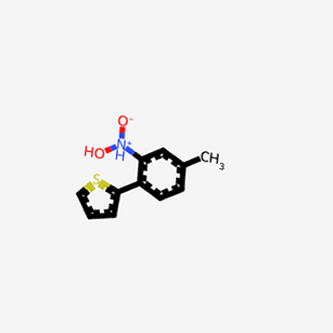 Cc1ccc(-c2cccs2)c([NH+]([O-])O)c1